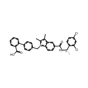 Cc1c(C)n(Cc2ccc(-c3ccccc3C(=O)O)cc2)c2ccc(C(=O)N[C@@H](C)c3ccc(Cl)cc3Cl)cc12